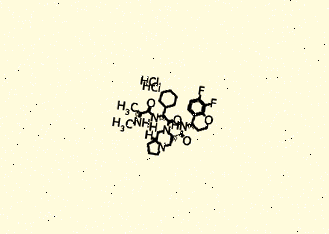 CN[C@@H](C)C(=O)N[C@H](C(=O)N1C[C@H]2CCCN2C[C@H]1C(=O)N[C@@H]1CCOc2c1ccc(F)c2F)C1CCCCC1.Cl.Cl